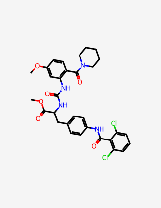 COC(=O)C(Cc1ccc(NC(=O)c2c(Cl)cccc2Cl)cc1)NC(=O)Nc1cc(OC)ccc1C(=O)N1CCCCC1